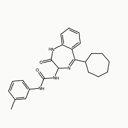 Cc1cccc(NC(=O)NC2N=C(C3CCCCCC3)c3ccccc3NC2=O)c1